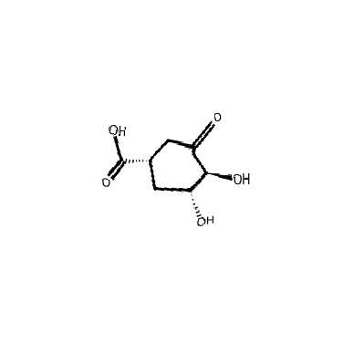 O=C(O)[C@@H]1CC(=O)[C@@H](O)[C@H](O)C1